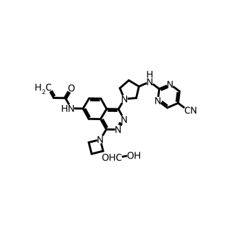 C=CC(=O)Nc1ccc2c(N3CCC(Nc4ncc(C#N)cn4)C3)nnc(N3CCC3)c2c1.O=CO